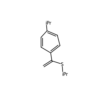 C=C(SC(C)C)c1ccc(C(C)C)cc1